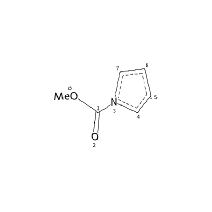 COC(=O)n1c[c]cc1